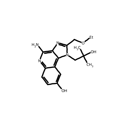 CCOCc1nc2c(N)nc3ccc(O)cc3c2n1CC(C)(C)O